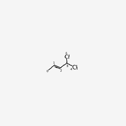 CC=CC(Cl)Cl